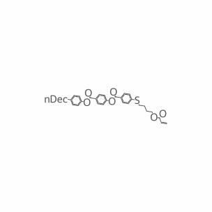 C=CC(=O)OCCCCSc1ccc(C(=O)Oc2ccc(C(=O)Oc3ccc(CCCCCCCCCC)cc3)cc2)cc1